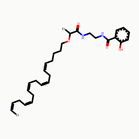 CC/C=C\C/C=C\C/C=C\C/C=C\C/C=C\CCCCOC(CC)C(=O)NCCNC(=O)c1ccccc1O